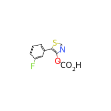 O=C(O)Oc1ncsc1-c1cccc(F)c1